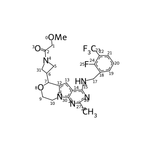 COCC(=O)N1CC(C2OCCn3c2cc2c(NCc4cccc(C(F)(F)F)c4F)nc(C)nc23)C1